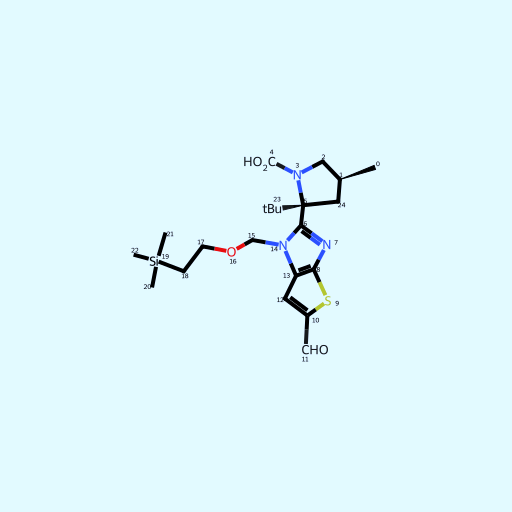 C[C@@H]1CN(C(=O)O)[C@](c2nc3sc(C=O)cc3n2COCC[Si](C)(C)C)(C(C)(C)C)C1